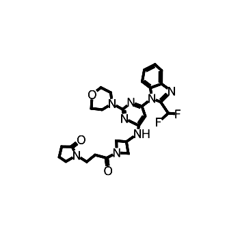 O=C1CCCN1CCC(=O)N1CC(Nc2cc(-n3c(C(F)F)nc4ccccc43)nc(N3CCOCC3)n2)C1